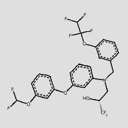 O[C@H](CN(Cc1cccc(OC(F)(F)C(F)F)c1)c1cccc(Oc2cccc(OC(F)F)c2)c1)C(F)(F)F